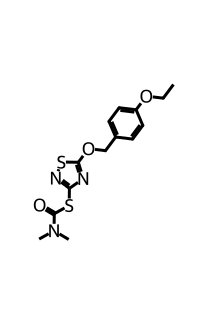 CCOc1ccc(COc2nc(SC(=O)N(C)C)ns2)cc1